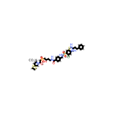 O=C(NCCCCP(=O)(O)CC(=O)N1CC2(CC1C(=O)O)SCCS2)c1ccc(CNS(=O)(=O)c2cc3c(cc2Cl)NC(CCc2ccccc2)NS3)cc1